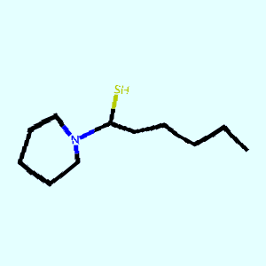 CCCCCC(S)N1CCCCC1